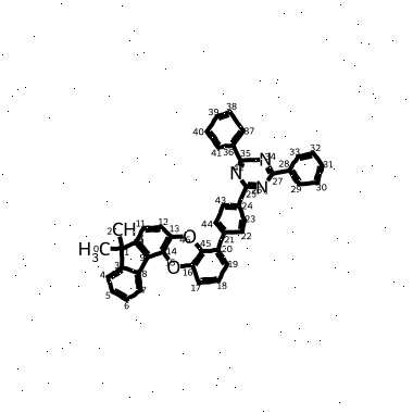 CC1(C)c2ccccc2-c2c1ccc1c2Oc2cccc(-c3ccc(-c4nc(-c5ccccc5)nc(-c5ccccc5)n4)cc3)c2O1